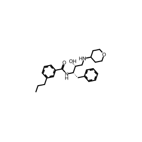 CCCc1cccc(C(=O)N[C@@H](Cc2ccccc2)[C@H](O)CNC2CCOCC2)c1